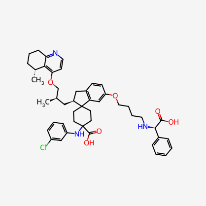 C[C@@H](COc1ccnc2c1[C@H](C)CCC2)C[C@H]1Cc2ccc(OCCCCN[C@@H](C(=O)O)c3ccccc3)cc2C12CCC(Nc1cccc(Cl)c1)(C(=O)O)CC2